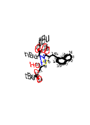 CCCC[C@H](NC(=O)[C@@H](CSC[C@@H](O)COC(=O)C(C)(C)C)Cc1cccc2ccccc12)C(=O)OC(C)(C)C